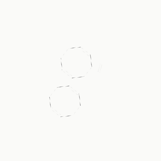 C1=C\CC/C=C\CC/1.C1=C\CC/C=C\CC/1.C=O.[Co]